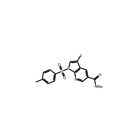 CNC(=O)c1cnc2c(c1)c(I)cn2S(=O)(=O)c1ccc(C)cc1